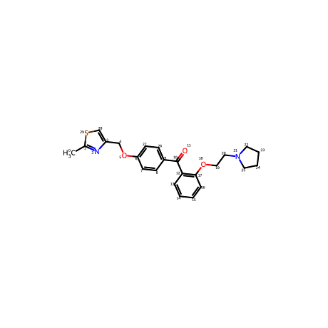 Cc1nc(COc2ccc(C(=O)c3[c]cccc3OCCN3CCCC3)cc2)cs1